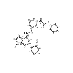 C=C(Cc1ccccc1)Nc1cccc(CNc2cc(-c3ccccc3Cl)nc3c(C)cnn23)c1